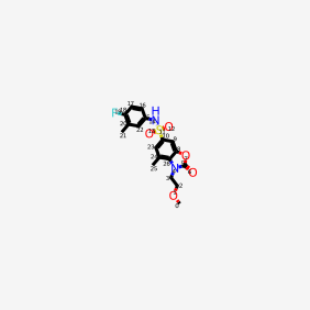 COCCn1c(=O)oc2cc(S(=O)(=O)Nc3ccc(F)c(C)c3)cc(C)c21